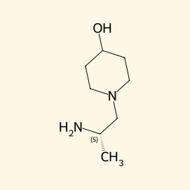 C[C@H](N)CN1CCC(O)CC1